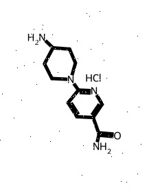 Cl.NC(=O)c1ccc(N2CCC(N)CC2)nc1